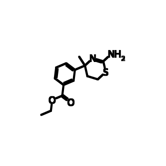 CCOC(=O)c1cccc(C2(C)CCSC(N)=N2)c1